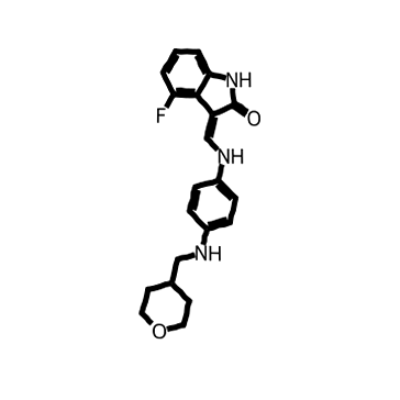 O=C1Nc2cccc(F)c2C1=CNc1ccc(NCC2CCOCC2)cc1